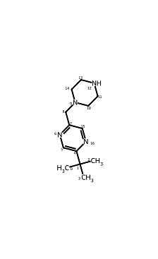 CC(C)(C)c1cnc(CN2CCNCC2)cn1